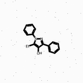 CCc1c(O)c(-c2ccccc2)nn1-c1ccccc1